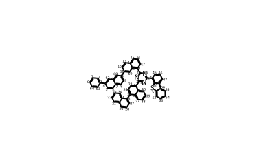 c1ccc(-c2ccc3ccc(-c4ccc5cccc(-c6nc(-c7ccc(-c8cccc9ccccc89)c8ccccc78)nc(-c7cccc8c7sc7ccccc78)n6)c5c4)cc3c2)cc1